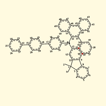 CC1(C)c2ccccc2-c2ccc(N(c3ccc(-c4ccc(-c5ccccc5)cc4)cc3)c3c(-c4ccccc4)c4ccccc4c4ccccc34)cc21